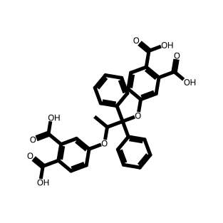 CC(Oc1ccc(C(=O)O)c(C(=O)O)c1)C(Oc1ccc(C(=O)O)c(C(=O)O)c1)(c1ccccc1)c1ccccc1